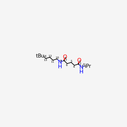 CC(C)NC(=O)CCCC(=O)NCCCCC(C)(C)C